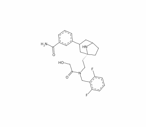 NC(=O)c1cccc(C2CC3CC[C@@](CCN(Cc4c(F)cccc4F)C(=O)CO)(C2)N3)c1